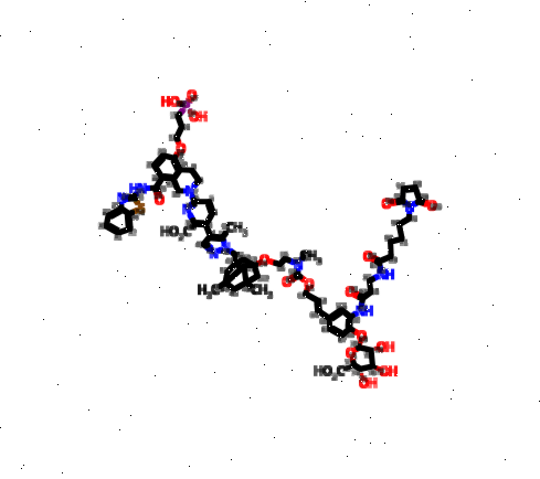 Cc1c(-c2ccc(N3CCc4c(OCCCP(=O)(O)O)ccc(C(=O)Nc5nc6ccccc6s5)c4C3)nc2C(=O)O)cnn1CC12CC3(C)CC(C)(C1)CC(OCCN(C)C(=O)OC/C=C/c1ccc(O[C@@H]4O[C@H](C(=O)O)[C@@H](O)[C@H](O)[C@H]4O)c(NC(=O)CCNC(=O)CCCCCN4C(=O)C=CC4=O)c1)(C3)C2